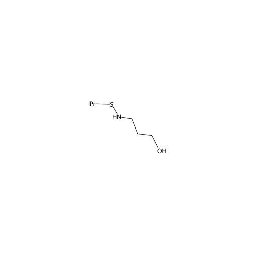 CC(C)SNCCCO